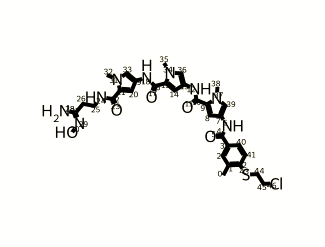 Cc1cc(C(=O)Nc2cc(C(=O)Nc3cc(C(=O)Nc4cc(C(=O)NCCC(N)=NO)n(C)c4)n(C)c3)n(C)c2)ccc1SCCCl